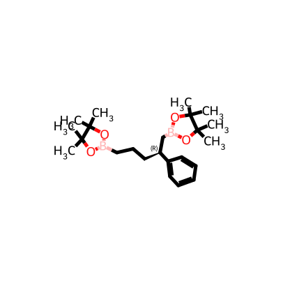 CC1(C)OB(CCC[C@@H](CB2OC(C)(C)C(C)(C)O2)c2ccccc2)OC1(C)C